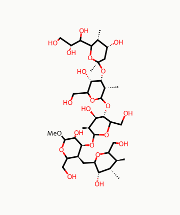 COC1OC(CO)[C@H](CC2OC(CO)[C@@H](C)[C@H](C)[C@@H]2O)[C@H](OC2OC(CO)[C@@H](OC3OC(CO)[C@H](O)[C@H](O[C@]4(C)C[C@@H](O)[C@@H](C)C(C(O)[C@H](O)CO)O4)[C@@H]3C)[C@H](O)[C@@H]2C)[C@@H]1O